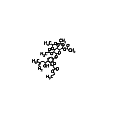 C=C(C)CC(O)c1ccc(O[C@@H]2O[C@H](COC(C)=O)[C@H](OC(C)=O)[C@H](OC(C)=O)[C@H]2OC(C)=O)c2oc(C(=O)OCC)cc12